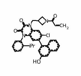 C=CC(=O)N1CC(Cn2c(=O)c(=O)n(-c3ccccc3C(C)C)c3cc(-c4cc(O)cc5ccccc45)c(Cl)cc32)C1